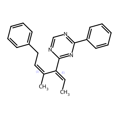 C/C=C(\C(C)=C/Cc1ccccc1)c1ncnc(-c2ccccc2)n1